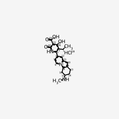 CCc1c(-c2ccn3c4c(cc3c2)CCC(NC)C4)[nH]c(=O)c(C(=O)O)c1O.Cl